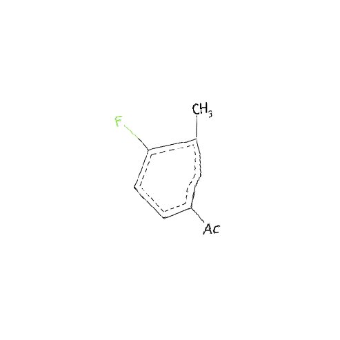 [CH2]C(=O)c1ccc(F)c(C)c1